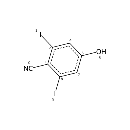 N#Cc1c(I)cc(O)cc1I